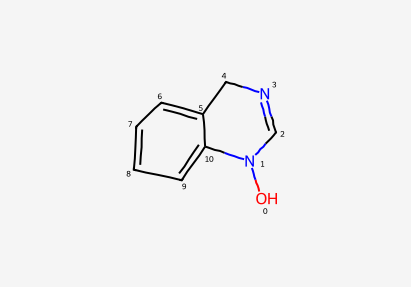 ON1C=NCc2ccccc21